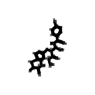 CCCC(NC(=O)c1ccc(Cl)cc1)N(Cc1ccc2c(c1)NC(=O)C(C)O2)C(=O)OC(C)(C)C